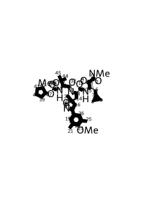 CNC(=O)C(=O)[C@H](CC1CC1)NC(=O)[C@@H]1C[C@]2(CC(c3cc(C)c(OC)c(C)c3)=NO2)CN1C(=O)[C@@H](NC(=O)OC1CCCC1)C(C)(C)OC